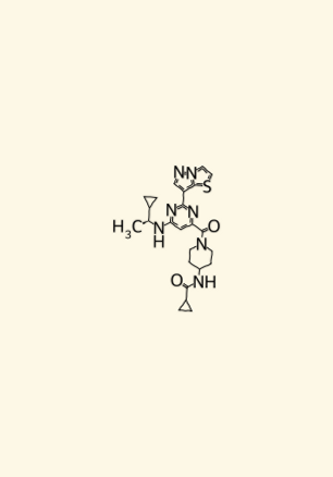 C[C@H](Nc1cc(C(=O)N2CCC(NC(=O)C3CC3)CC2)nc(-c2cnn3ccsc23)n1)C1CC1